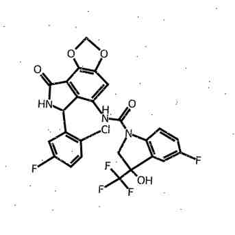 O=C1NC(c2cc(F)ccc2Cl)c2c(NC(=O)N3CC(O)(C(F)(F)F)c4cc(F)ccc43)cc3c(c21)OCO3